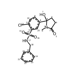 CN1C(=O)CCC1(O)c1ccc(Cl)c(S(=O)(=O)NCc2ccccc2)c1